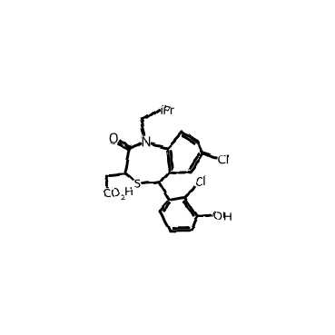 CC(C)CN1C(=O)C(CC(=O)O)SC(c2cccc(O)c2Cl)c2cc(Cl)ccc21